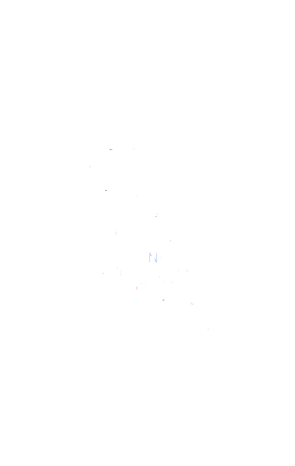 Cc1ccc(S(=O)(=O)N2C=CC(c3ccccc3)CC2=O)cc1